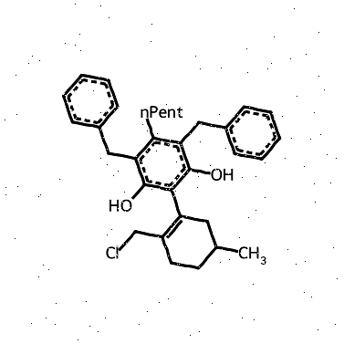 CCCCCc1c(Cc2ccccc2)c(O)c(C2=C(CCl)CCC(C)C2)c(O)c1Cc1ccccc1